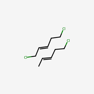 CC=CCCCl.ClCC=CCCCl